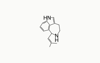 CC(C)=CC1NCCc2c[nH]c3cccc1c23